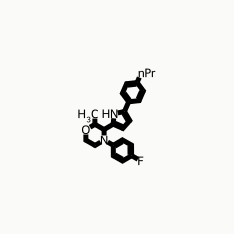 CCCc1ccc(-c2ccc(C3C(C)OCCN3c3ccc(F)cc3)[nH]2)cc1